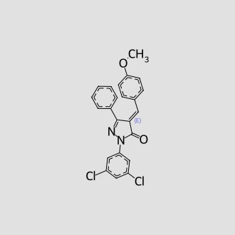 COc1ccc(/C=C2/C(=O)N(c3cc(Cl)cc(Cl)c3)N=C2c2ccccc2)cc1